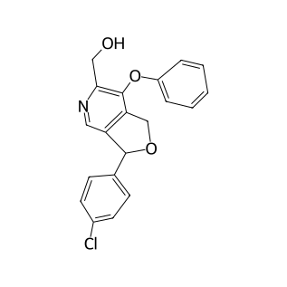 OCc1ncc2c(c1Oc1ccccc1)COC2c1ccc(Cl)cc1